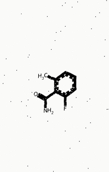 Cc1cccc(F)c1C(N)=O